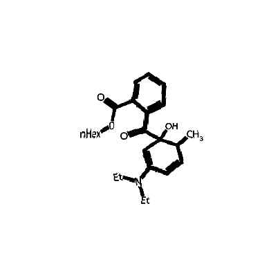 CCCCCCOC(=O)c1ccccc1C(=O)C1(O)C=C(N(CC)CC)C=CC1C